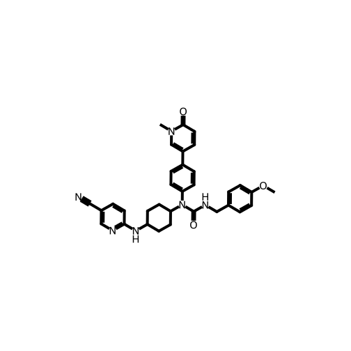 COc1ccc(CNC(=O)N(c2ccc(-c3ccc(=O)n(C)c3)cc2)C2CCC(Nc3ccc(C#N)cn3)CC2)cc1